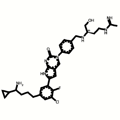 CC(=N)NCC[C@H](CO)NCc1ccc(-n2cc3cc(-c4cc(CCCC(N)C5CC5)cc(Cl)c4F)[nH]c3nc2=O)cc1